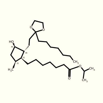 CCCCCCCC1(CC[C@@H]2[C@@H](CCCCCCC(=O)OC(C)C)[C@@H](C)C[C@H]2O)OCCO1